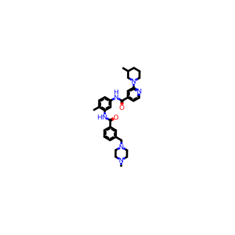 Cc1ccc(NC(=O)c2ccnc(N3CCCC(C)C3)c2)cc1NC(=O)c1cccc(CN2CCN(C)CC2)c1